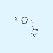 CNc1cnc2c(c1)CN(C(=O)OC(C)(C)C)CC2